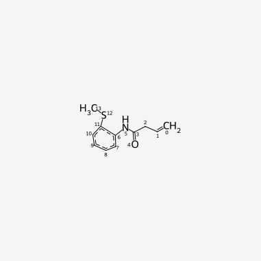 C=CCC(=O)Nc1ccccc1SC